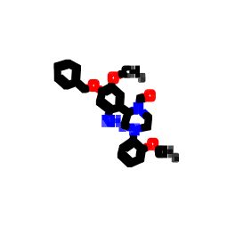 COc1cc(C2CN(c3ccccc3OC)CCN2C=O)c(N)cc1OCc1ccccc1